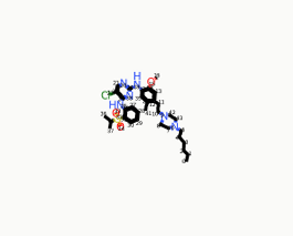 CCCCCCN1CCN(CCc2cc(OC)c(Nc3ncc(Cl)c(Nc4ccccc4S(=O)(=O)C(C)C)n3)cc2C)CC1